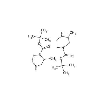 CC1CN(C(=O)OC(C)(C)C)CCN1.CC1CNCCN1C(=O)OC(C)(C)C